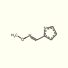 CON=Cc1cccs1